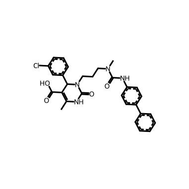 CC1=C(C(=O)O)C(c2cccc(Cl)c2)N(CCCN(C)C(=O)Nc2ccc(-c3ccccc3)cc2)C(=O)N1